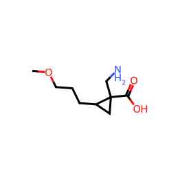 COCCCC1CC1(CN)C(=O)O